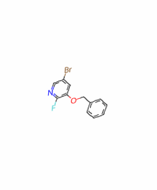 Fc1ncc(Br)cc1OCc1ccccc1